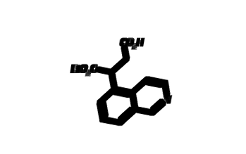 CCOC(=O)C(CC(=O)O)c1cccc2cnccc12